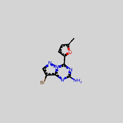 Cc1ccc(-c2nc(N)nc3c(Br)cnn23)o1